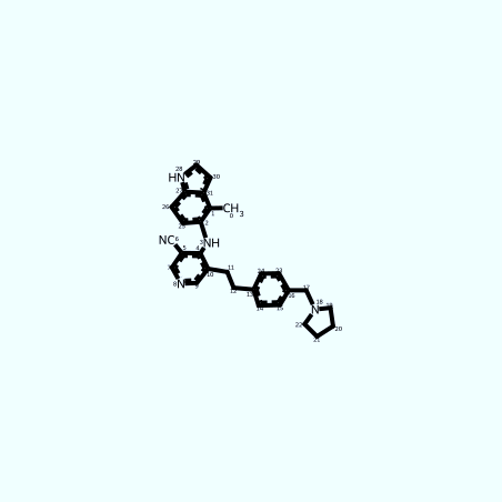 Cc1c(Nc2c(C#N)cncc2CCc2ccc(CN3CCCC3)cc2)ccc2[nH]ccc12